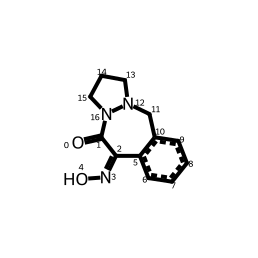 O=C1C(=NO)c2ccccc2CN2CCCN12